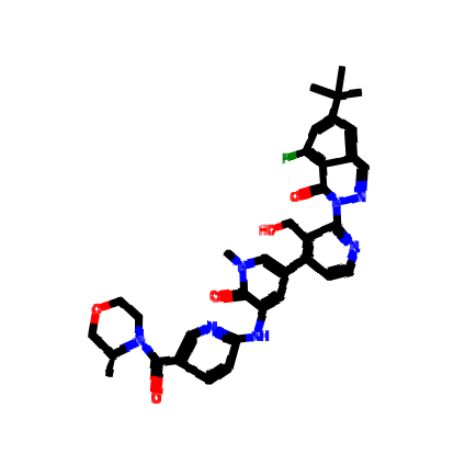 C[C@H]1COCCN1C(=O)c1ccc(Nc2cc(-c3ccnc(-n4ncc5cc(C(C)(C)C)cc(F)c5c4=O)c3CO)cn(C)c2=O)nc1